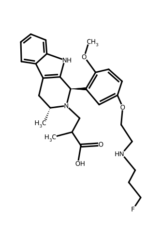 COc1ccc(OCCNCCCF)cc1[C@@H]1c2[nH]c3ccccc3c2C[C@@H](C)N1CC(C)C(=O)O